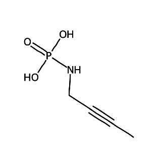 CC#CCNP(=O)(O)O